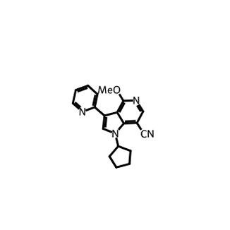 COc1ncc(C#N)c2c1c(-c1ccccn1)cn2C1CCCC1